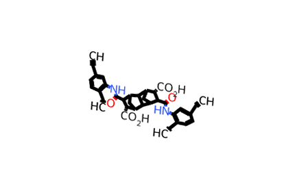 C#Cc1ccc(C#C)c(NC(=O)C2C3CC(C2C(=O)O)C2C4CC(C(C(=O)O)C4C(=O)Nc4cc(C#C)ccc4C#C)C32)c1